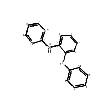 c1ccc(Oc2ccccc2Nc2ncccn2)cc1